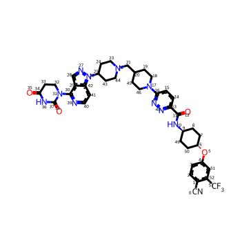 N#Cc1ccc(O[C@H]2CC[C@H](NC(=O)c3ccc(N4CCC(CN5CCC(n6ncc7c(N8CCC(=O)NC8=O)nccc76)CC5)CC4)nn3)CC2)cc1C(F)(F)F